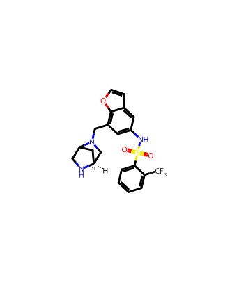 O=S(=O)(Nc1cc(CN2C[C@@H]3CC2CN3)c2occc2c1)c1ccccc1C(F)(F)F